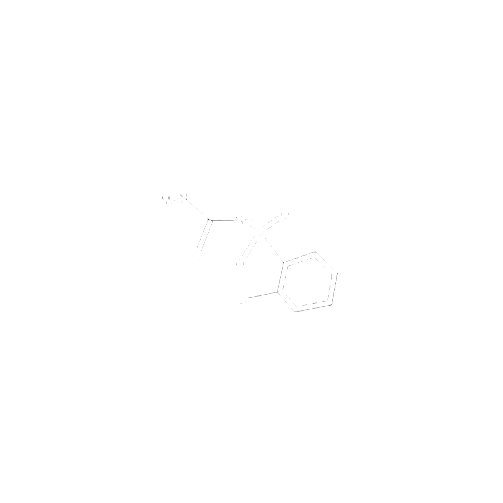 CNC(=O)NS(=O)(=O)c1ccccc1Cl